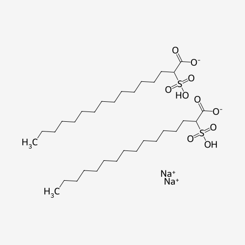 CCCCCCCCCCCCCCC(C(=O)[O-])S(=O)(=O)O.CCCCCCCCCCCCCCC(C(=O)[O-])S(=O)(=O)O.[Na+].[Na+]